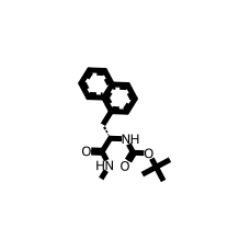 CNC(=O)[C@H](Cc1cccc2ccccc12)NC(=O)OC(C)(C)C